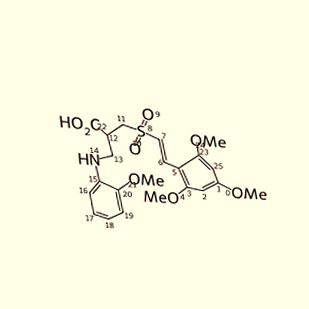 COc1cc(OC)c(C=CS(=O)(=O)CC(CNc2ccccc2OC)C(=O)O)c(OC)c1